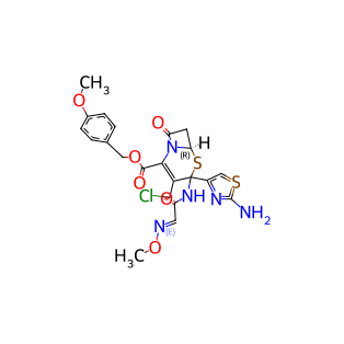 CO/N=C/C(=O)NC1(c2csc(N)n2)S[C@@H]2CC(=O)N2C(C(=O)OCc2ccc(OC)cc2)=C1CCl